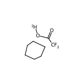 C1CCCCC1.[2H]OC(=O)C(F)(F)F